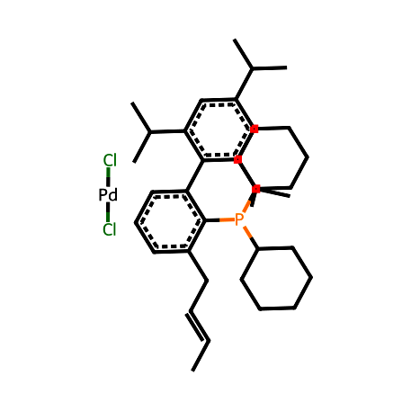 CC=CCc1cccc(-c2c(C(C)C)cc(C(C)C)cc2C(C)C)c1P(C1CCCCC1)C1CCCCC1.[Cl][Pd][Cl]